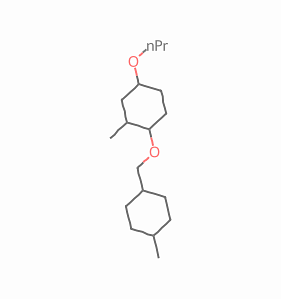 CCCOC1CCC(OCC2CCC(C)CC2)C(C)C1